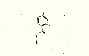 O=C=NC(=O)c1ccc(F)cc1Br